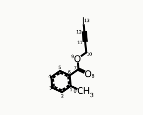 Cc1ccccc1C(=O)OCC#CI